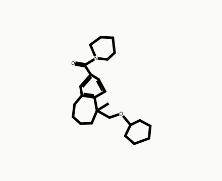 CC1(COC2CCCCC2)CCCCc2cc(C(=O)N3CCCCC3)ccc21